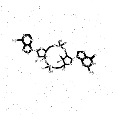 Nc1nc2c(ncn2[C@@H]2O[C@@H]3CO[PH](O)(S)O[C@@H]4C(CO[PH](O)(S)OC2[C@@H]3F)O[C@@H](n2nnc3c(N)ncnc32)[C@H]4F)c(=O)[nH]1